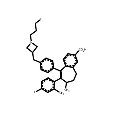 CC1CCc2cc(C(=O)O)ccc2C(c2ccc(CC3CN(CCCF)C3)cc2)=C1c1ccc(F)cc1C(F)(F)F